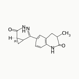 CC1Cc2cc(C3=NNC(=O)[C@@H]4CC34)ccc2NC1=O